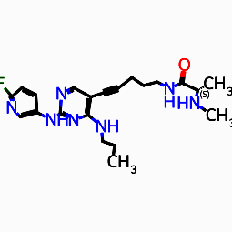 CCCNc1nc(Nc2ccc(F)nc2)ncc1C#CCCCNC(=O)[C@H](C)NC